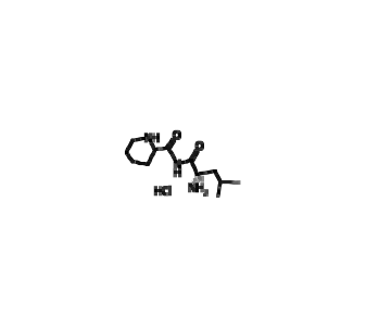 CC(C)C[C@H](N)C(=O)NC(=O)C1CCCCN1.Cl